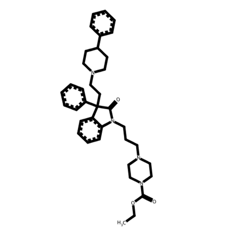 CCOC(=O)N1CCN(CCCN2C(=O)C(CCN3CCC(c4ccccc4)CC3)(c3ccccc3)c3ccccc32)CC1